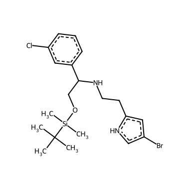 CC(C)(C)[Si](C)(C)OCC(NCCc1cc(Br)c[nH]1)c1cccc(Cl)c1